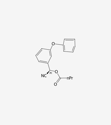 CCCC(=O)O[C@@H](C#N)c1cccc(Oc2ccccc2)c1